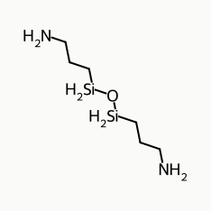 NCCC[SiH2]O[SiH2]CCCN